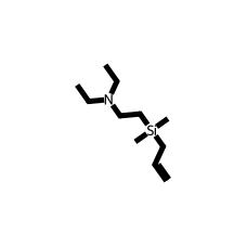 C=CC[Si](C)(C)CCN(CC)CC